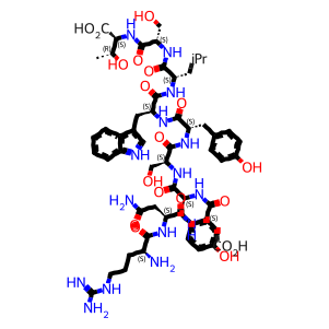 CC(C)C[C@H](NC(=O)[C@H](Cc1c[nH]c2ccccc12)NC(=O)[C@H](Cc1ccc(O)cc1)NC(=O)[C@H](CO)NC(=O)[C@H](Cc1ccc(O)cc1)NC(=O)[C@H](CC(=O)O)NC(=O)[C@H](CC(N)=O)NC(=O)[C@@H](N)CCCNC(=N)N)C(=O)N[C@@H](CO)C(=O)N[C@H](C(=O)O)[C@@H](C)O